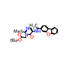 CSc1ncc(N[C@H](C)c2ccc3c(c2)oc2ccccc23)c(=O)n1CC(=O)OC(C)(C)C